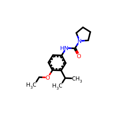 CCOc1ccc(NC(=O)N2CCCC2)cc1C(C)C